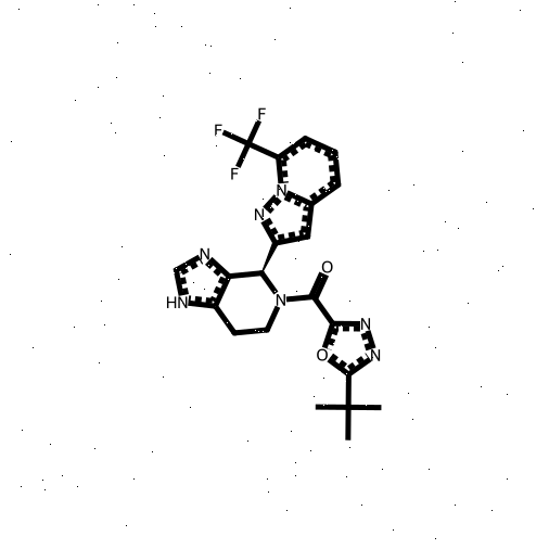 CC(C)(C)c1nnc(C(=O)N2CCc3[nH]cnc3[C@H]2c2cc3cccc(C(F)(F)F)n3n2)o1